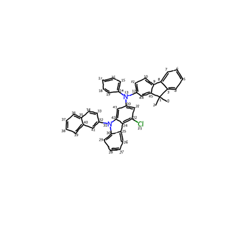 CC1(C)c2ccccc2-c2ccc(N(c3ccccc3)c3cc(Cl)c4c5ccccc5n(-c5ccc6ccccc6c5)c4c3)cc21